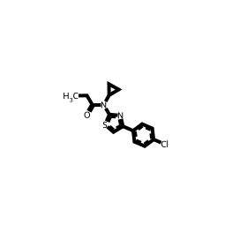 CCC(=O)N(c1nc(-c2ccc(Cl)cc2)cs1)C1CC1